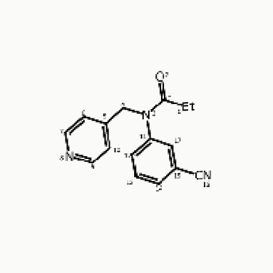 CCC(=O)N(Cc1ccncc1)c1cccc(C#N)c1